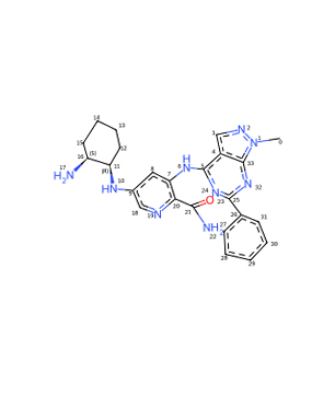 Cn1ncc2c(Nc3cc(N[C@@H]4CCCC[C@@H]4N)cnc3C(N)=O)nc(-c3ccccc3)nc21